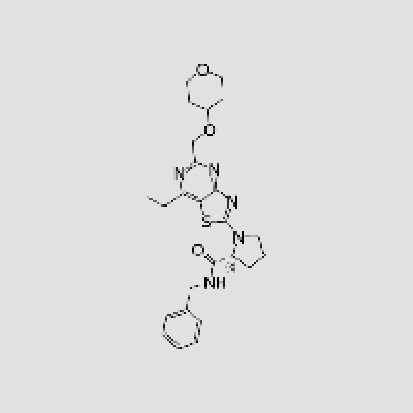 CCc1nc(COC2CCOCC2)nc2nc(N3CCC[C@@H]3C(=O)NCc3ccccc3)sc12